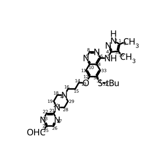 Cc1[nH]nc(Nc2ncnc3cc(OCCCN4CCN(c5cnc(C=O)cn5)CC4)c(SC(C)(C)C)cc23)c1C